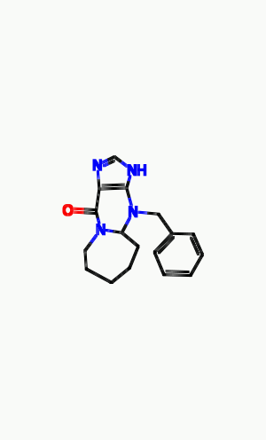 O=C1c2nc[nH]c2N(Cc2ccccc2)C2CCCCCN12